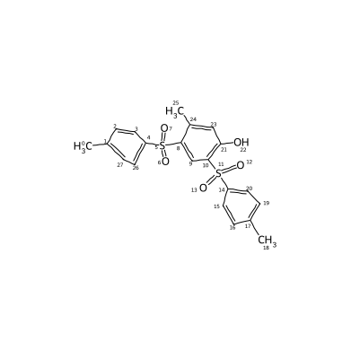 Cc1ccc(S(=O)(=O)c2cc(S(=O)(=O)c3ccc(C)cc3)c(O)cc2C)cc1